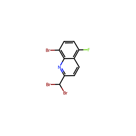 Fc1ccc(Br)c2nc(C(Br)Br)ccc12